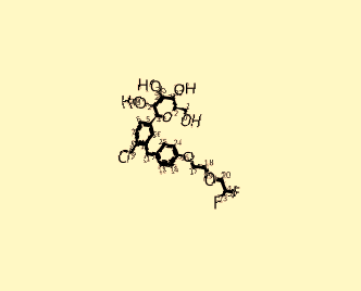 OC[C@H]1O[C@@H](c2ccc(Cl)c(Cc3ccc(OCCOCC(F)F)cc3)c2)[C@H](O)[C@@H](O)[C@@H]1O